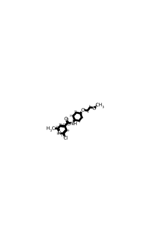 COCCOC1CCC(NC(=O)c2cc(C)nc(Cl)c2)CC1